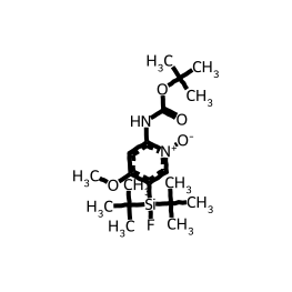 COc1cc(NC(=O)OC(C)(C)C)[n+]([O-])cc1[Si](F)(C(C)(C)C)C(C)(C)C